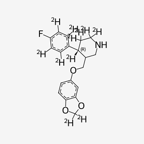 [2H]c1c([2H])c([C@@]2([2H])C(COc3ccc4c(c3)OC([2H])([2H])O4)CNC([2H])([2H])C2([2H])[2H])c([2H])c([2H])c1F